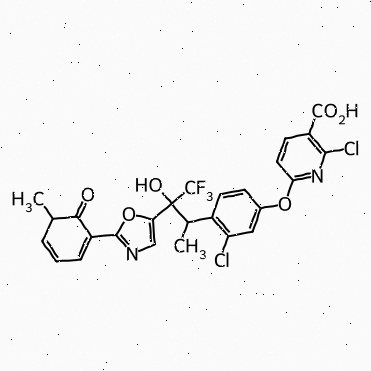 CC1C=CC=C(c2ncc(C(O)(C(C)c3ccc(Oc4ccc(C(=O)O)c(Cl)n4)cc3Cl)C(F)(F)F)o2)C1=O